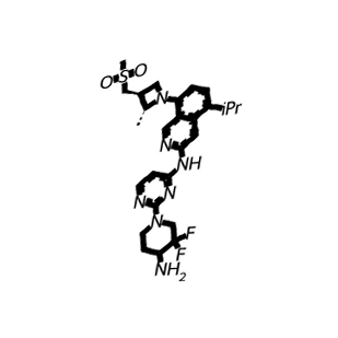 CC(C)c1ccc(N2C[C@H](CS(C)(=O)=O)[C@H]2C)c2cnc(Nc3ccnc(N4CCC(N)C(F)(F)C4)n3)cc12